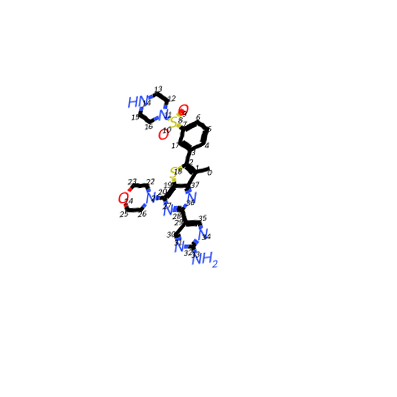 Cc1c(-c2cccc(S(=O)(=O)N3CCNCC3)c2)sc2c(N3CCOCC3)nc(-c3cnc(N)nc3)nc12